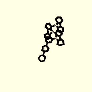 C1=C(c2ccc(-c3cccc(-n4c5ccccc5c5cccc(-n6c7ccccc7c7cccc(-n8c9ccccc9c9ccccc98)c76)c54)c3)cc2)CCCC1